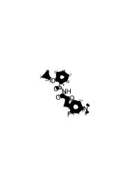 CN(C)c1cc(F)c2cc(C(=O)N[S+]([O-])c3ccccc3OC3CC3)oc2c1